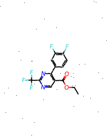 CCOC(=O)c1cnc(C(F)(F)F)nc1-c1ccc(F)c(F)c1